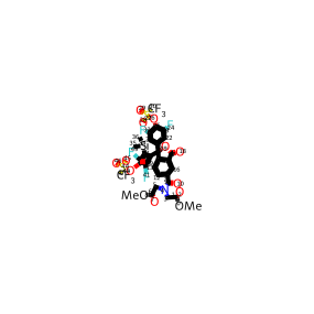 COC(=O)CN(CC(=O)OC)C(=O)c1ccc2c(c1)C(=O)OC21c2cc(F)c(OS(=O)(=O)C(F)(F)F)c(F)c2[Si](C)(C)c2c1cc(F)c(OS(=O)(=O)C(F)(F)F)c2F